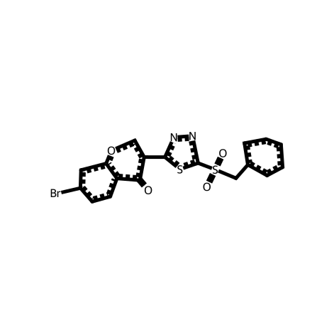 O=c1c(-c2nnc(S(=O)(=O)Cc3ccccc3)s2)coc2cc(Br)ccc12